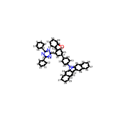 c1ccc(-c2nc(-c3ccccc3)nc(-c3cc(-c4ccc(-n5c6cc7ccccc7cc6c6cc7ccccc7cc65)cc4)cc4oc5ccccc5c34)n2)cc1